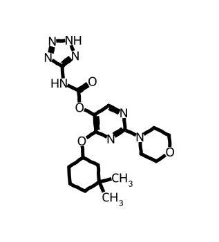 CC1(C)CCCC(Oc2nc(N3CCOCC3)ncc2OC(=O)Nc2nn[nH]n2)C1